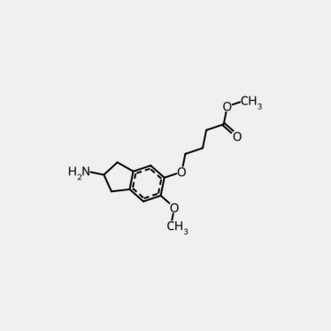 COC(=O)CCCOc1cc2c(cc1OC)CC(N)C2